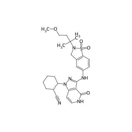 COCCC(C)(C)N1Cc2cc(Nc3nn(C4CCCCC4C#N)c4cc[nH]c(=O)c34)ccc2S1(=O)=O